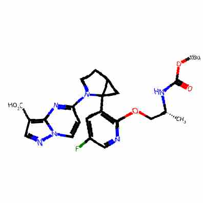 C[C@H](COc1ncc(F)cc1C12CC1CCN2c1ccn2ncc(C(=O)O)c2n1)NC(=O)OC(C)(C)C